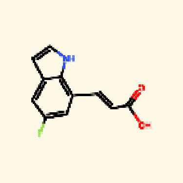 O=C(O)C=Cc1cc(F)cc2cc[nH]c12